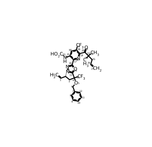 C=CCCC(OCc1ccccc1)(c1nnc(-c2nc(C(=O)C(C)(C)CC=C)c(C(F)(F)F)cc2NC(=O)O)o1)C(F)(F)F